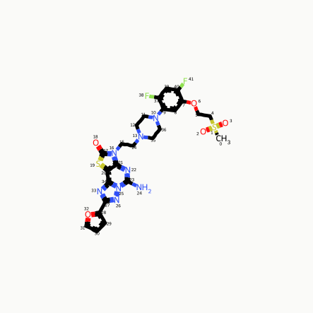 CS(=O)(=O)CCOc1cc(N2CCN(CCn3c(=O)sc4c3nc(N)n3nc(-c5ccco5)nc43)CC2)c(F)cc1F